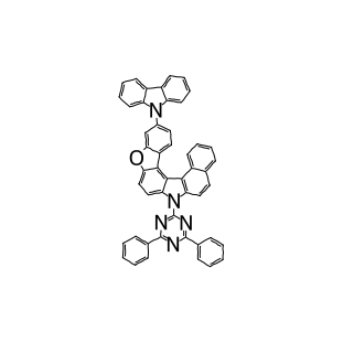 c1ccc(-c2nc(-c3ccccc3)nc(-n3c4ccc5ccccc5c4c4c5c(ccc43)oc3cc(-n4c6ccccc6c6ccccc64)ccc35)n2)cc1